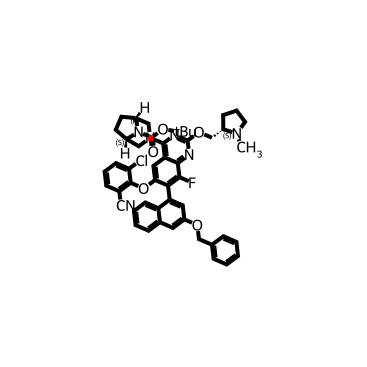 CN1CCC[C@H]1COc1nc(N2C[C@H]3CC[C@@H](C2)N3C(=O)OC(C)(C)C)c2cc(Oc3c(Cl)cccc3C#N)c(-c3cc(OCc4ccccc4)cc4ccccc34)c(F)c2n1